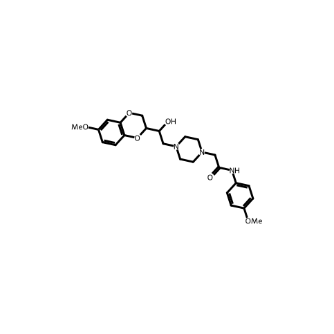 COc1ccc(NC(=O)CN2CCN(CC(O)C3COc4cc(OC)ccc4O3)CC2)cc1